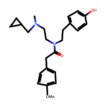 COc1ccc(CC(=O)N(CCc2ccc(O)cc2)CCN(C)CC2CC2)cc1